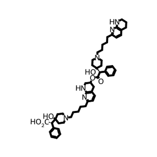 O=C(OC1CNc2nc(CCCCCN3CCC(O)([C@@H](C(=O)O)c4ccccc4)CC3)ccc2C1)[C@H](c1ccccc1)C1(O)CCN(CCCCCc2ccc3c(n2)NCCC3)CC1